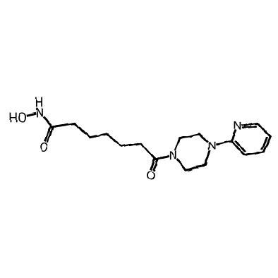 O=C(CCCCCC(=O)N1CCN(c2ccccn2)CC1)NO